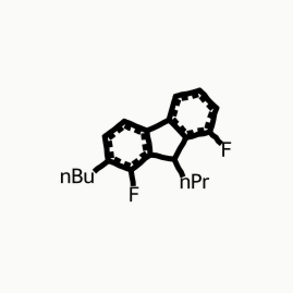 CCCCc1ccc2c(c1F)C(CCC)c1c(F)cccc1-2